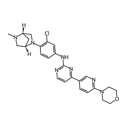 CN1C[C@@H]2C[C@H]1CN2c1ccc(Nc2nccc(-c3ccc(N4CCOCC4)nc3)n2)cc1Cl